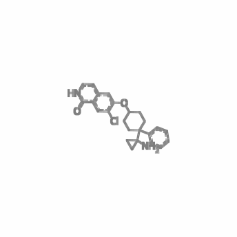 NC1(C2(c3ccccc3)CCC(Oc3cc4cc[nH]c(=O)c4cc3Cl)CC2)CC1